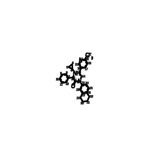 O=C([C@H](NC1CC1)c1ccccc1)N(CCc1ccc(C(F)(F)F)nc1)c1ccc2c(c1)CCCC2